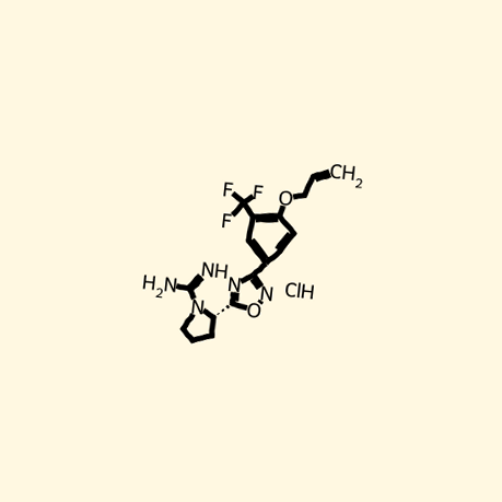 C=CCOc1ccc(-c2noc([C@@H]3CCCN3C(=N)N)n2)cc1C(F)(F)F.Cl